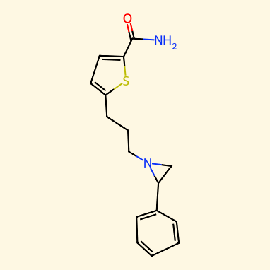 NC(=O)c1ccc(CCCN2CC2c2ccccc2)s1